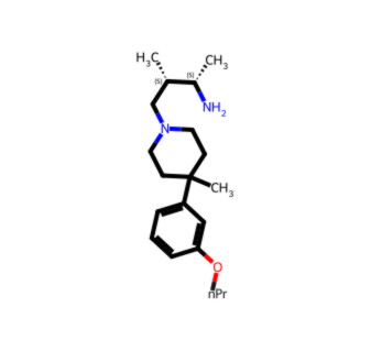 CCCOc1cccc(C2(C)CCN(C[C@H](C)[C@H](C)N)CC2)c1